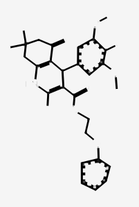 COc1cc(C2C(C(=O)OCCOc3ccccc3)=C(C)NC3=C2C(=O)CC(C)(C)C3)cc(OC)c1O